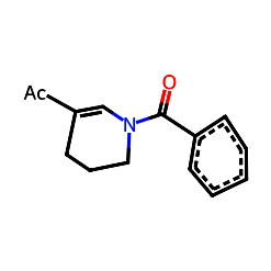 CC(=O)C1=CN(C(=O)c2ccccc2)CCC1